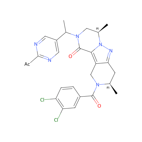 CC(=O)c1ncc(C(C)N2C[C@@H](C)n3nc4c(c3C2=O)CN(C(=O)c2ccc(Cl)c(Cl)c2)[C@H](C)C4)cn1